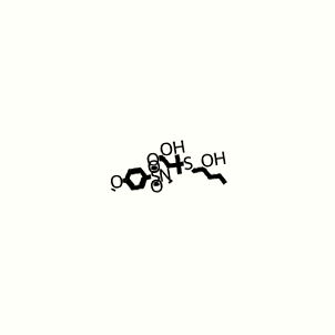 CCCC(O)CSC(C)(C)[C@H](C(=O)O)N(C)S(=O)(=O)c1ccc(OC)cc1